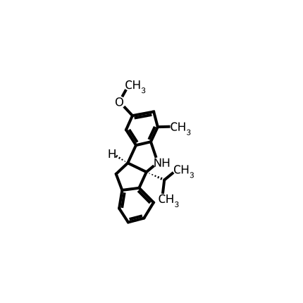 COc1cc(C)c2c(c1)[C@@H]1Cc3ccccc3[C@]1(C(C)C)N2